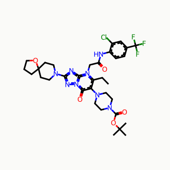 CCc1c(N2CCN(C(=O)OC(C)(C)C)CC2)c(=O)n2nc(N3CCC4(CCCO4)CC3)nc2n1CC(=O)Nc1ccc(C(F)(F)F)cc1Cl